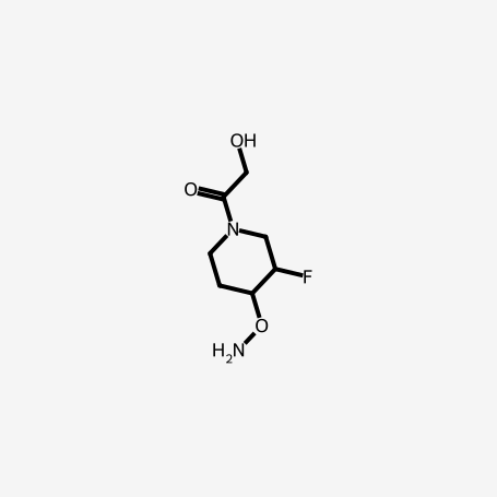 NOC1CCN(C(=O)CO)CC1F